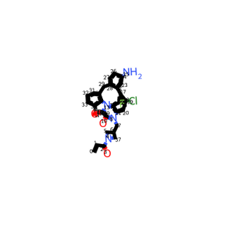 C=CC(=O)N1CC(Cn2c(=O)c(=O)n3c4c(F)c(c(Cl)cc42)-c2cc(N)ccc2Cc2cccc(C(C)C)c2-3)C1